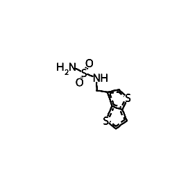 NS(=O)(=O)NCc1csc2ccsc12